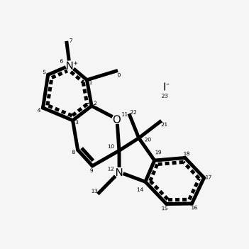 Cc1c2c(cc[n+]1C)C=CC1(O2)N(C)c2ccccc2C1(C)C.[I-]